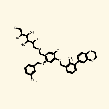 Cc1cccc(COc2cc(OCc3cccc(-c4ccc5c(c4)OCCO5)c3C)c(Cl)cc2CNCC(O)C(O)C(O)C(O)CO)c1